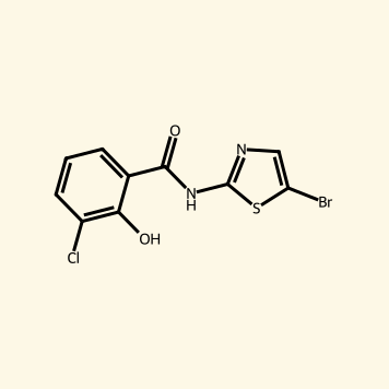 O=C(Nc1ncc(Br)s1)c1cccc(Cl)c1O